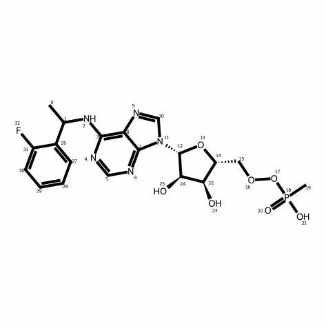 CC(Nc1ncnc2c1ncn2[C@@H]1O[C@H](COOP(C)(=O)O)[C@@H](O)[C@H]1O)c1ccccc1F